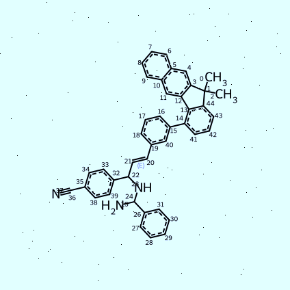 CC1(C)c2cc3ccccc3cc2-c2c(-c3cccc(/C=C/C(NC(N)c4ccccc4)c4ccc(C#N)cc4)c3)cccc21